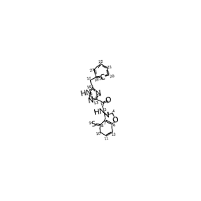 O=C(NN1COC2=C1C(=S)CC=C2)c1n[nH]c(Cc2ccccc2)n1